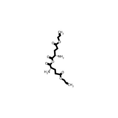 C=CCOC(=O)CC[C@H](N)C(=O)OC(=O)[C@@H](N)CCC(=O)OCC=C